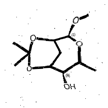 CO[C@H]1OC(C)[C@@H](O)C2CC1OC(C)(C)O2